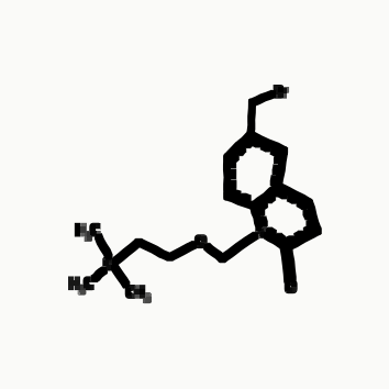 C[Si](C)(C)CCOCn1c(=O)ccc2cc(CBr)ccc21